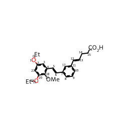 CCOc1cc(C=Cc2cccc(C=CCCC(=O)O)c2)c(OC)c(OCC)c1